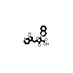 O=C(O)C1=C(N2CCc3ccccc3C2)OC(=Cc2c[nH]c3ncccc23)C1=O